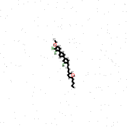 CCCCCC1CCC(CCCCc2ccc(-c3ccc(-c4ccc(OCC)c(F)c4F)cc3)cc2F)CO1